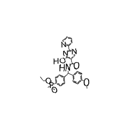 CCOP(C)(=O)c1ccc(C(NC(=O)c2cnc(-c3ccccn3)nc2O)c2ccc(OC)cc2)cc1